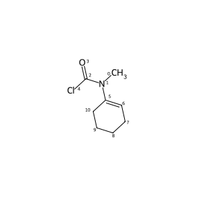 CN(C(=O)Cl)C1=CCCCC1